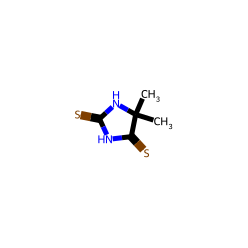 CC1(C)NC(=S)NC1=S